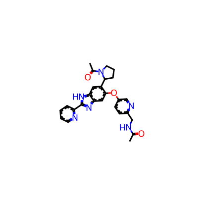 CC(=O)NCc1ccc(Oc2cc3nc(-c4ccccn4)[nH]c3cc2C2CCCN2C(C)=O)cn1